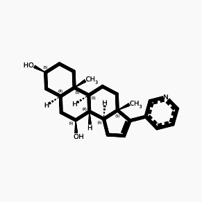 C[C@]12CC[C@H](O)C[C@@H]1C[C@H](O)[C@@H]1[C@@H]2CC[C@]2(C)C(c3cccnc3)=CC[C@@H]12